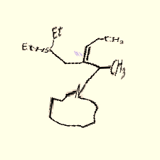 C/C=C(/C[SiH](CC)CC)C(C)N1CCCCCCC1